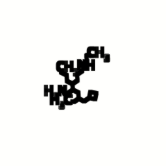 CCCCC(CCCNCCC)C(CN)CC(CC)CC1CCC1